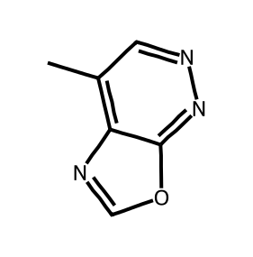 Cc1cnnc2ocnc12